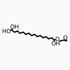 OC(O)CCCCCCCCCCCCCCC(O)OCC1CO1